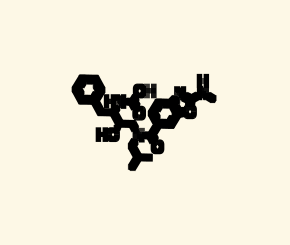 CNc1nc2ccc(C(=O)N(CC(C)C)C[C@@H](O)C(Cc3ccccc3)NC(=O)O)cc2o1